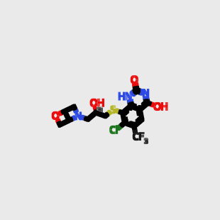 O=c1nc(O)c2cc(C(F)(F)F)c(Cl)c(SC[C@H](O)CN3CC4OCC43)c2[nH]1